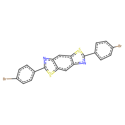 Brc1ccc(-c2nc3cc4sc(-c5ccc(Br)cc5)nc4cc3s2)cc1